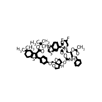 CC(=O)O[C@H](CN(CC(F)F)S(=O)(=O)c1ccc2ncsc2c1)[C@H](Cc1ccccc1)NC(=O)O[C@H]1CO[C@@]2(COc3ccc(-c4sc5c(c4C(=O)OC(C)(C)C)CC(C)(C)CC5)cc3)OCC[C@@H]12